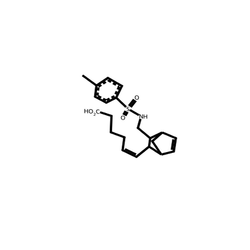 Cc1ccc(S(=O)(=O)NCC2C3C=CC(C3)C2/C=C\CCCC(=O)O)cc1